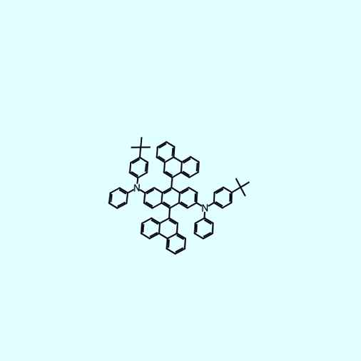 CC(C)(C)c1ccc(N(c2ccccc2)c2ccc3c(-c4cc5ccccc5c5ccccc45)c4cc(N(c5ccccc5)c5ccc(C(C)(C)C)cc5)ccc4c(-c4cc5ccccc5c5ccccc45)c3c2)cc1